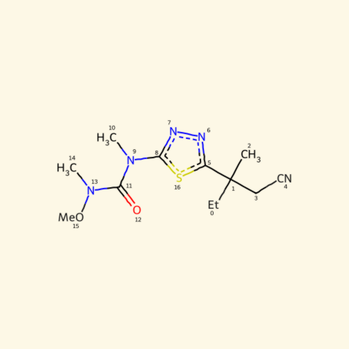 CCC(C)(CC#N)c1nnc(N(C)C(=O)N(C)OC)s1